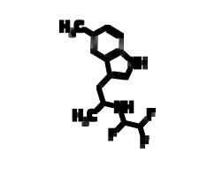 Cc1ccc2[nH]cc(CC(C)NC(F)C(F)F)c2c1